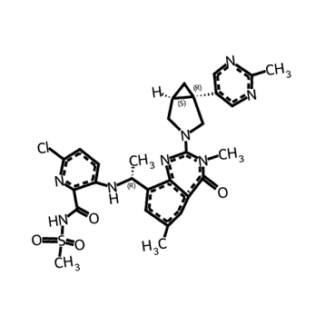 Cc1cc([C@@H](C)Nc2ccc(Cl)nc2C(=O)NS(C)(=O)=O)c2nc(N3C[C@H]4C[C@@]4(c4cnc(C)nc4)C3)n(C)c(=O)c2c1